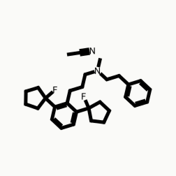 CC#N.CN(CCCc1c(C2(F)CCCC2)cccc1C1(F)CCCC1)CCc1ccccc1